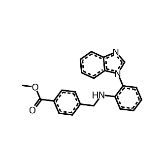 COC(=O)c1ccc(CNc2ccccc2-n2cnc3ccccc32)cc1